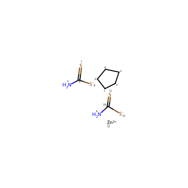 C1CCCC1.NC(=S)[S-].NC(=S)[S-].[Zn+2]